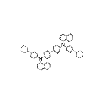 C1=c2ccccc2=C(N(c2ccc(-c3ccc(N(c4ccc(C5CCCCC5)cc4)c4cccc5ccccc45)cc3)cc2)c2ccc(C3CCCCC3)cc2)CC1